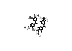 CC(c1ccc(N)c(C(C)(C)C)c1)c1ccc(N)c(C(C)(C)C)c1.Cc1cc(C(C)c2cc(C)c(N)c(C)c2)cc(C)c1N